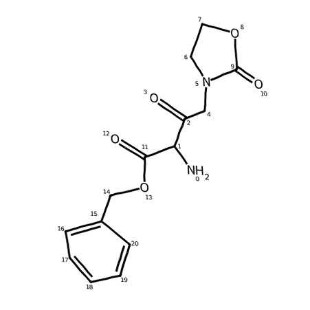 NC(C(=O)CN1CCOC1=O)C(=O)OCc1ccccc1